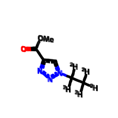 [2H]C([2H])([2H])C([2H])([2H])n1cc(C(=O)OC)nn1